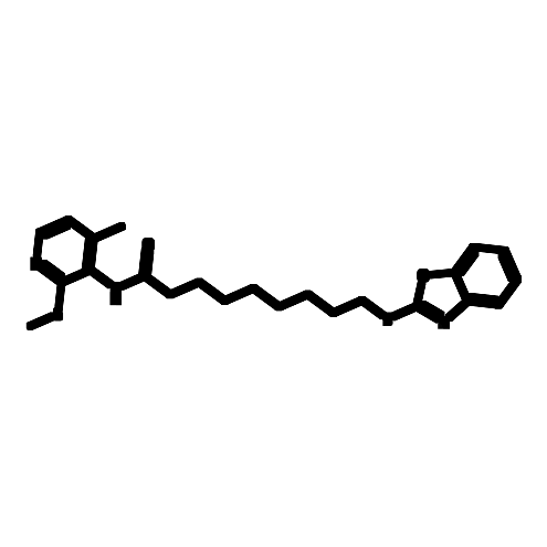 CSc1nccc(C)c1NC(=O)CCCCCCCCSc1nc2ccccc2o1